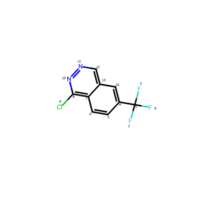 FC(F)(F)c1ccc2c(Cl)nncc2c1